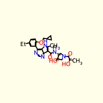 CCc1ccc(OCC2CC2)c(-c2ncnc3c(C(=O)N[C@@H]4CN(C(=O)[C@H](C)O)C[C@H]4O)c(C)[nH]c23)c1